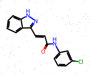 O=C(C=Cc1n[nH]c2ccccc12)Nc1cccc(Cl)c1